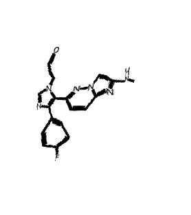 CNc1cn2nc(-c3c(-c4ccc(F)cc4)ncn3CC=O)ccc2n1